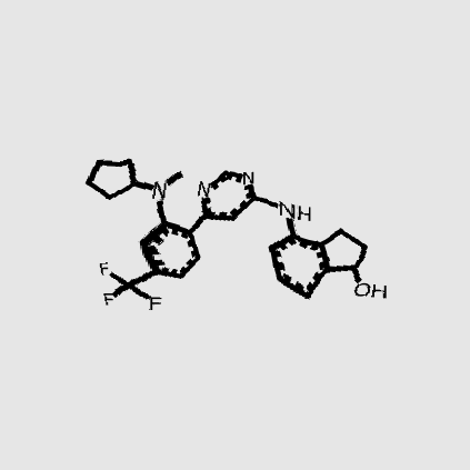 CN(c1cc(C(F)(F)F)ccc1-c1cc(Nc2cccc3c2CCC3O)ncn1)C1CCCC1